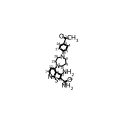 CC(=O)c1ccc(N2CCCN(c3ccnc4sc(C(N)=O)c(N)c34)CC2)cc1